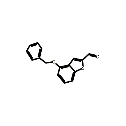 O=Cc1cc2c(OCc3ccccc3)cccc2s1